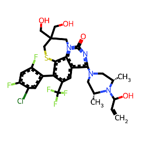 C=CC(O)N1[C@H](C)CN(c2nc(=O)n3c4c(c(-c5cc(Cl)c(F)cc5F)c(C(F)(F)F)cc24)SCC(CO)(CO)C3)C[C@@H]1C